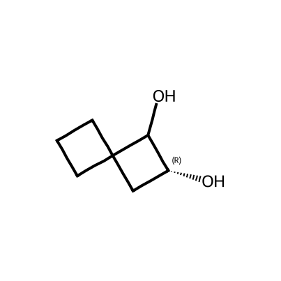 OC1[C@H](O)CC12CCC2